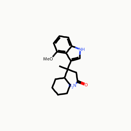 COc1cccc2[nH]cc(C(C)(CC(N)=O)C3CCCCC3)c12